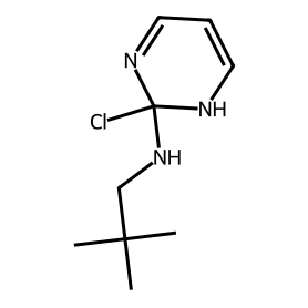 CC(C)(C)CNC1(Cl)N=CC=CN1